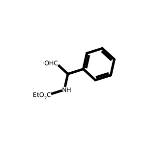 CCOC(=O)NC([C]=O)c1ccccc1